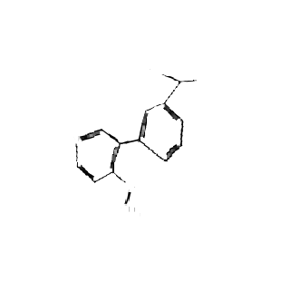 COc1ccncc1-c1cccc(C(C)C)c1